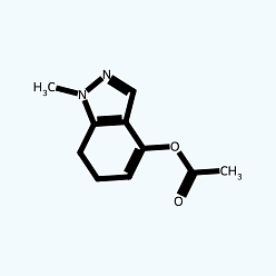 CC(=O)OC1=CCCc2c1cnn2C